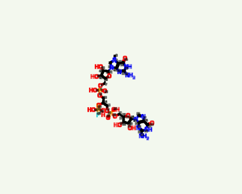 CN1CN([C@@H]2O[C@H](COP(=O)(O)OCC(COP(=O)(O)OC[C@H]3O[C@@H](n4cnc5c(=O)[nH]c(N)nc54)[C@H](O)[C@@H]3O)O[PH](O)(O)F)[C@@H](O)[C@H]2O)c2nc(N)[nH]c(=O)c21